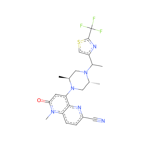 CC(c1csc(C(F)(F)F)n1)N1C[C@H](C)N(c2cc(=O)n(C)c3ccc(C#N)nc23)C[C@H]1C